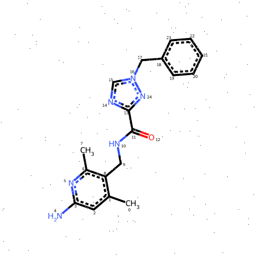 Cc1cc(N)nc(C)c1CNC(=O)c1ncn(Cc2ccccc2)n1